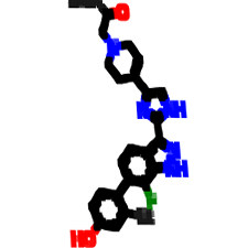 CCc1cc(O)ccc1-c1ccc2c(-c3nc(C4=CCN(CC(=O)NC)CC4)c[nH]3)n[nH]c2c1F